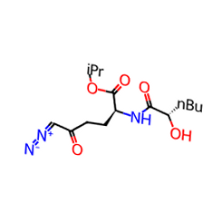 CCCC[C@H](O)C(=O)N[C@@H](CCC(=O)C=[N+]=[N-])C(=O)OC(C)C